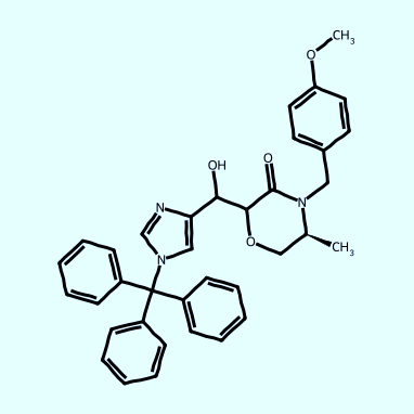 COc1ccc(CN2C(=O)C(C(O)c3cn(C(c4ccccc4)(c4ccccc4)c4ccccc4)cn3)OC[C@@H]2C)cc1